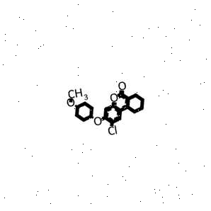 CO[C@H]1CC[C@@H](Oc2cc3oc(=O)c4c(c3cc2Cl)CCCC4)CC1